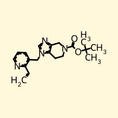 C=Cc1ncccc1Cn1cnc2c1CCN(C(=O)OC(C)(C)C)C2